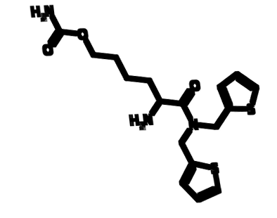 NC(=O)OCCCCC(N)C(=O)N(Cc1cccs1)Cc1cccs1